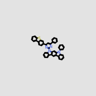 c1ccc(-c2cc(-c3ccc4c(c3)sc3ccccc34)nc(-n3c4ccccc4c4cc5c6ccccc6n(-c6ccccc6)c5cc43)n2)cc1